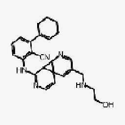 N#Cc1c(NC2=NC=CC34C=C(CNCCO)C=NC3C24)cccc1C1=CCCCC1